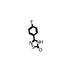 O=c1[nH]c(-c2ccc(F)cc2)ns1